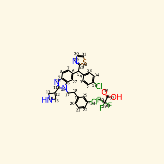 Clc1ccc(C(c2ccc3nc(C4CNC4)n(CCc4cccc(Cl)c4)c3c2)c2nccs2)cc1.O=C(O)C(F)(F)F